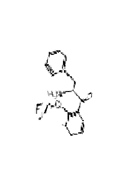 N[C@@H](Cc1ccccc1)C(=O)C1=C(OC(F)(F)F)[CH]CC=C1